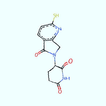 O=C1CCC(N2Cc3nc(S)ccc3C2=O)C(=O)N1